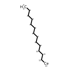 CCCCCCCCCCCC[CH2][Ce]